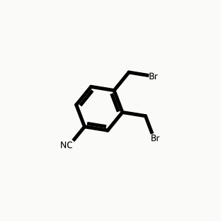 N#Cc1ccc(CBr)c(CBr)c1